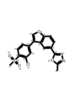 Cc1nnc(-c2ccc3occ(-c4ccc(S(C)(=O)=O)c(Cl)c4)c3c2)o1